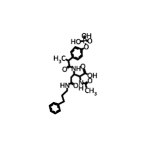 CC(=O)NC(C(=O)O)C(CC(=O)NCCCc1ccccc1)NC(=O)C(C)c1ccc(OP(=O)(O)O)cc1